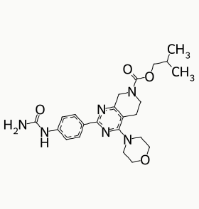 CC(C)COC(=O)N1CCc2c(nc(-c3ccc(NC(N)=O)cc3)nc2N2CCOCC2)C1